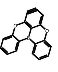 c1cc2c3c(c#1)Oc1ccccc1B3c1ccccc1O2